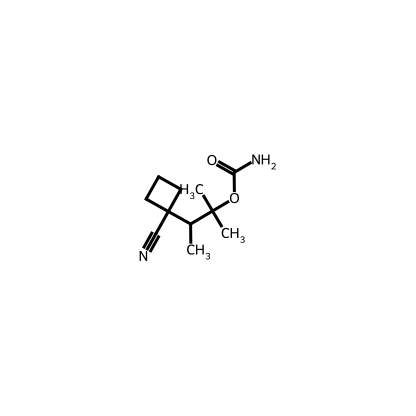 CC(C1(C#N)CCC1)C(C)(C)OC(N)=O